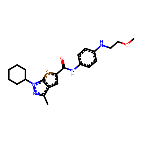 COCCNc1ccc(NC(=O)c2cc3c(C)nn(C4CCCCC4)c3s2)cc1